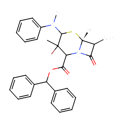 CC(=O)NC1C(=O)N2C(C(=O)OC(c3ccccc3)c3ccccc3)C(C)(Br)C(N(C(C)=O)c3ccccc3)S[C@H]12